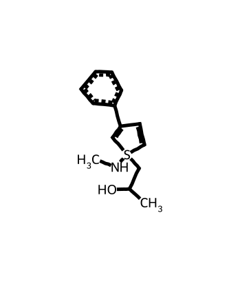 CNS1(CC(C)O)C=CC(c2ccccc2)=C1